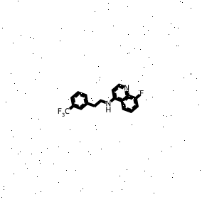 Fc1cccc2c(NCCc3cccc(C(F)(F)F)c3)ccnc12